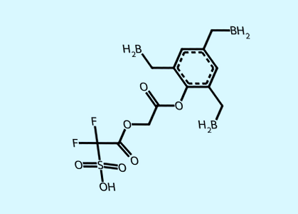 BCc1cc(CB)c(OC(=O)COC(=O)C(F)(F)S(=O)(=O)O)c(CB)c1